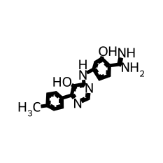 Cc1ccc(-c2ncnc(Nc3ccc(C(=N)N)c(O)c3)c2O)cc1